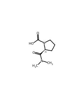 CN(C)C(=O)[C@@H]1CCCN1C(=O)O